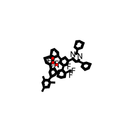 Cc1cc(C)c(-c2ccc3c(c2)c2ccccc2n3-c2c(-c3ccccc3C(F)(F)F)cc(-c3cc(-c4ccccc4)nc(-c4ccccc4)n3)cc2-c2ccccc2C(F)(F)F)c(C)c1